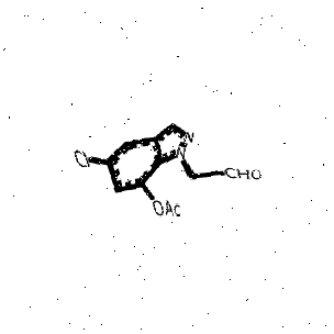 CC(=O)Oc1cc(Cl)cc2cnn(CC=O)c12